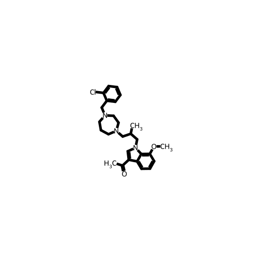 COc1cccc2c(C(C)=O)cn(CC(C)CN3CCCN(Cc4ccccc4Cl)CC3)c12